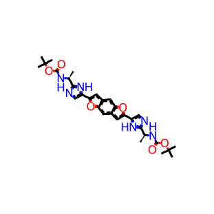 C[C@H](NC(=O)OC(C)(C)C)c1ncc(-c2cc3cc4oc(-c5cnc([C@H](C)NC(=O)OC(C)(C)C)[nH]5)cc4cc3o2)[nH]1